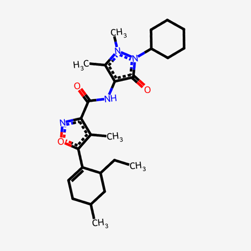 CCC1CC(C)CC=C1c1onc(C(=O)Nc2c(C)n(C)n(C3CCCCC3)c2=O)c1C